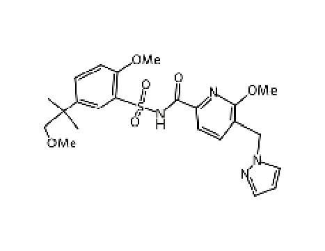 COCC(C)(C)c1ccc(OC)c(S(=O)(=O)NC(=O)c2ccc(Cn3cccn3)c(OC)n2)c1